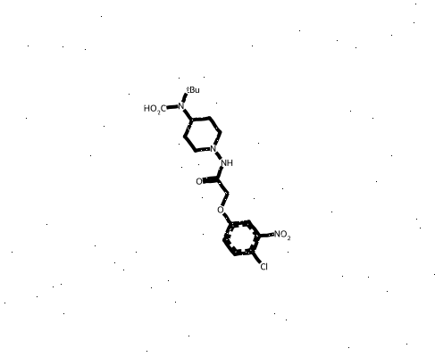 CC(C)(C)N(C(=O)O)C1CCN(NC(=O)COc2ccc(Cl)c([N+](=O)[O-])c2)CC1